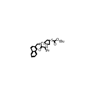 CC(C)CC(=O)N(Cc1ccc2ccccc2c1)C[C@@H]1C[C@H](SC(=O)OC(C)(C)C)CN1